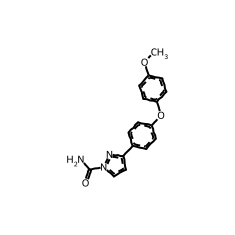 COc1ccc(Oc2ccc(-c3ccn(C(N)=O)n3)cc2)cc1